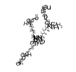 C=C(NCCCCCCNC(=O)N(CCCCCCNC(=O)OCC1CO1)C(=O)NCCCCCCNC(=O)OCC1CO1)OCCOCCOCCCC